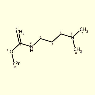 C=C(NCCCN(C)C)OCCC